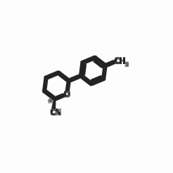 Cc1ccc(C2CCC[C@H](C#N)O2)cc1